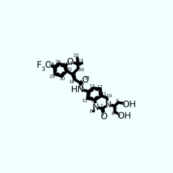 CN1C(=O)N(C(CO)CO)Cc2ccc(NC(=O)/C=C3\CC(C)(C)Oc4cc(C(F)(F)F)ccc43)cc21